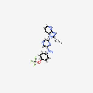 Cc1nc2ncccc2n1-c1cncc(Nc2ccc(OC(F)(F)F)cc2)n1